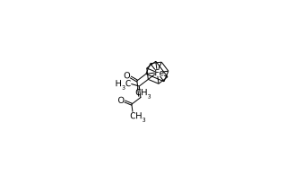 CC(=O)C=C(C)[C]12[CH]3[CH]4[CH]5[CH]1[Fe]45321678[CH]2[CH]1[CH]6[C]7(C(C)=O)[CH]28